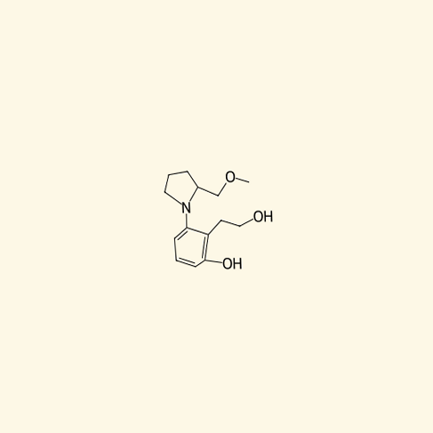 COCC1CCCN1c1cccc(O)c1CCO